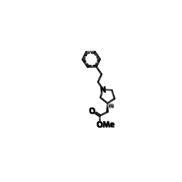 COC(=O)C[C@@H]1CCN(CCc2ccccc2)C1